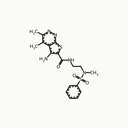 Cc1nnc2sc(C(=O)NCCN(C)S(=O)(=O)c3ccccc3)c(N)c2c1C